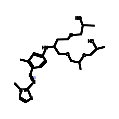 Cc1cc(NC(CCOCC(C)O)COCC(C)OCC(C)O)ccc1/N=N/c1scc[n+]1C